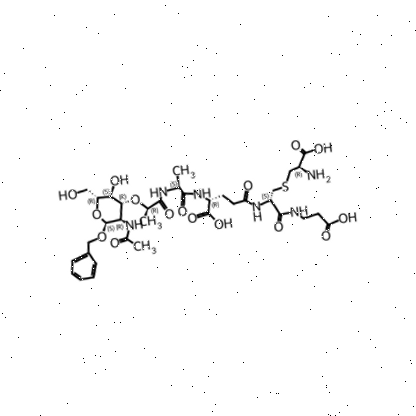 CC(=O)N[C@H]1[C@@H](OCc2ccccc2)O[C@H](CO)[C@@H](O)[C@@H]1O[C@H](C)C(=O)N[C@@H](C)C(=O)N[C@H](CCC(=O)N[C@H](CSC[C@H](N)C(=O)O)C(=O)NCCC(=O)O)C(=O)O